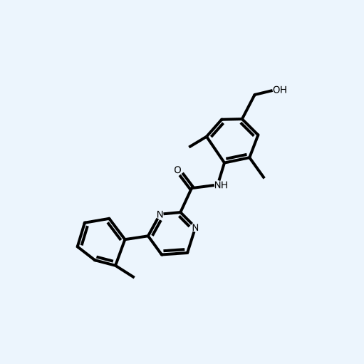 Cc1ccccc1-c1ccnc(C(=O)Nc2c(C)cc(CO)cc2C)n1